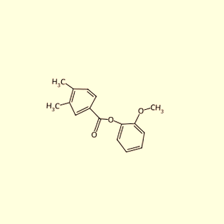 COc1ccccc1OC(=O)c1ccc(C)c(C)c1